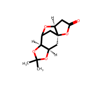 CC1(C)O[C@@H]2C[C@]34CC(O[C@H]3CC(=O)O4)[C@@H]2O1